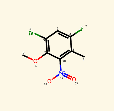 COc1c(Br)cc(F)c(C)c1[N+](=O)[O-]